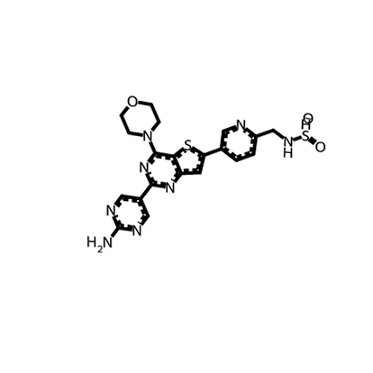 Nc1ncc(-c2nc(N3CCOCC3)c3sc(-c4ccc(CN[SH](=O)=O)nc4)cc3n2)cn1